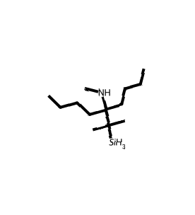 CCCCC(CCCC)(NC)C(C)(C)[SiH3]